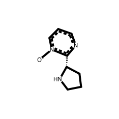 [O-][n+]1cccnc1[C@@H]1CCCN1